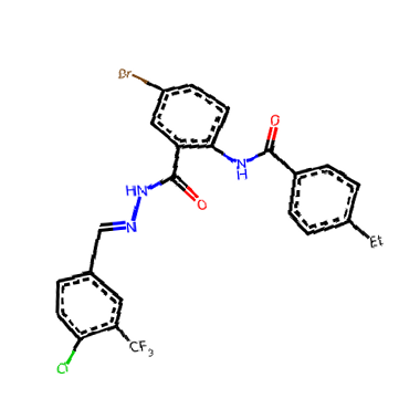 CCc1ccc(C(=O)Nc2ccc(Br)cc2C(=O)NN=Cc2ccc(Cl)c(C(F)(F)F)c2)cc1